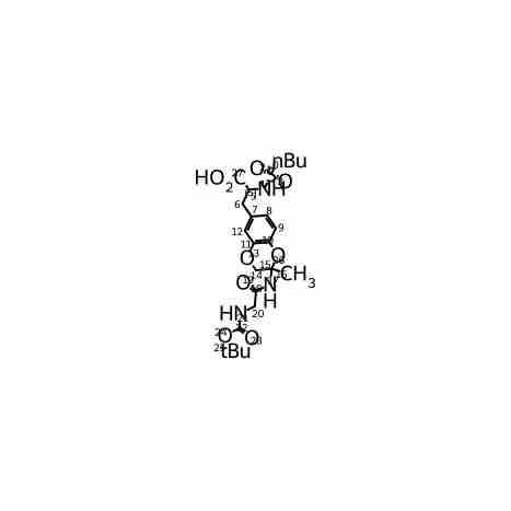 CCCCS(=O)(=O)N[C@@H](Cc1ccc2c(c1)OCC(C)(NC(=O)CNC(=O)OC(C)(C)C)O2)C(=O)O